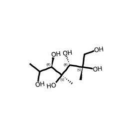 CC(O)[C@@H](O)[C@](C)(O)[C@H](O)[C@@](C)(O)CO